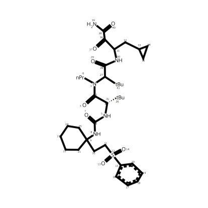 CCCN(C(=O)[C@@H](NC(=O)NC1(CCS(=O)(=O)c2ccccc2)CCCCC1)C(C)(C)C)C(C(=O)NC(CC1CC1)C(=O)C(N)=O)C(C)(C)C